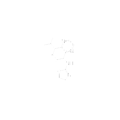 CC(C)C1CCC(NC2=NCCO2)c2nccnc21